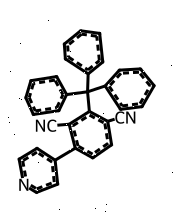 N#Cc1ccc(-c2ccncc2)c(C#N)c1C(c1ccccc1)(c1ccccc1)c1ccccc1